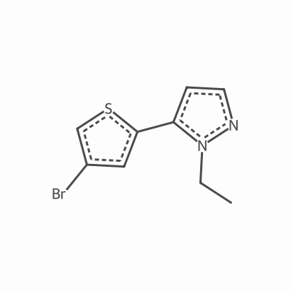 CCn1nccc1-c1cc(Br)cs1